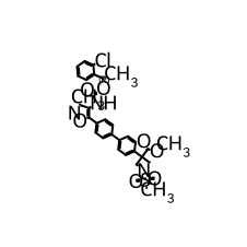 COC(=O)C1(c2ccc(-c3ccc(-c4onc(C)c4NC(=O)O[C@H](C)c4ccccc4Cl)cc3)cc2)CN(S(C)(=O)=O)C1